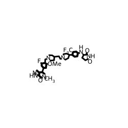 COc1cc(-c2cn(C)c(=O)c3[nH]ncc23)cc(F)c1CN1CCC(CCN2CCC(c3ccc(NC4CCC(=O)NC4=O)cc3C(F)(F)F)CC2)CC1